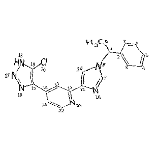 CC(c1ccccc1)n1cnc(-c2cc(-c3nn[nH]c3Cl)ccn2)c1